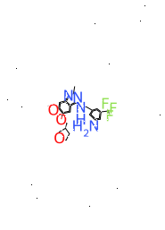 COc1cc2nc(C)nc(NCc3cc(N)cc(C(F)(F)F)c3)c2cc1OC[C@H]1CCOC1